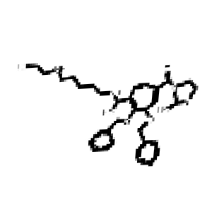 O=C(C1=CC(OCc2ccccc2)C(OCc2ccccc2)=C(C(O)NCCCCCNCCO)C=C1)N1CCSC1S